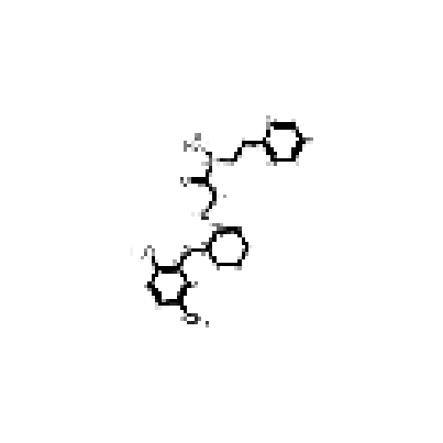 Cc1ccc(C)c(S[C@@H]2CCCC[C@H]2SCC(=O)N(C)CCc2ccccn2)c1